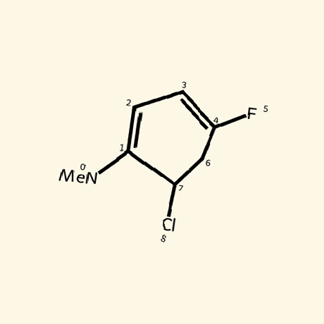 CNC1=CC=C(F)CC1Cl